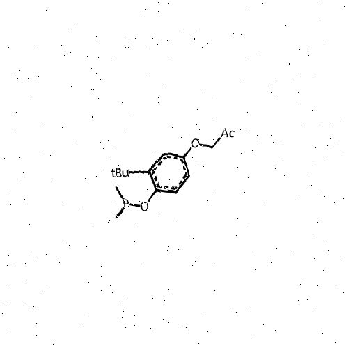 CC(=O)COc1ccc(OP(C)C)c(C(C)(C)C)c1